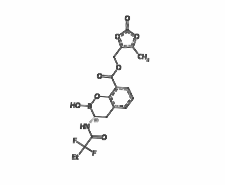 CCC(F)(F)C(=O)N[C@H]1Cc2cccc(C(=O)OCc3oc(=O)oc3C)c2OB1O